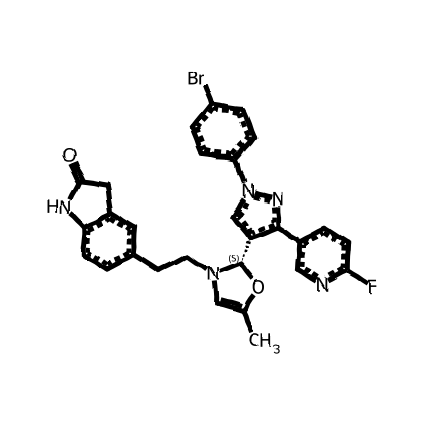 CC1=CN(CCc2ccc3c(c2)CC(=O)N3)[C@H](c2cn(-c3ccc(Br)cc3)nc2-c2ccc(F)nc2)O1